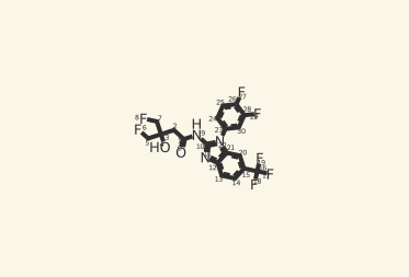 O=C(CC(O)(CF)CF)Nc1nc2ccc(C(F)(F)F)cc2n1-c1ccc(F)c(F)c1